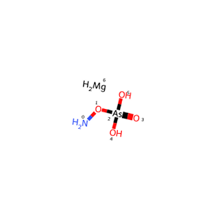 NO[As](=O)(O)O.[MgH2]